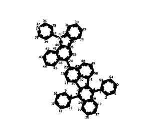 c1ccc(-c2c3c(c(-c4ccccc4)c4ccccc24)-c2ccc(-c4cc5c6ccccc6n(-c6ccncc6)c5c5ccccc45)c4cccc-3c24)cc1